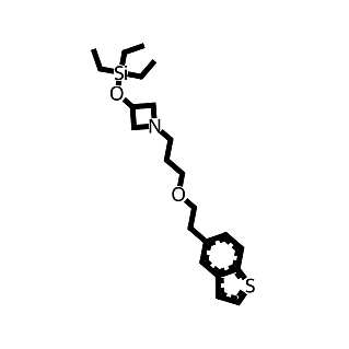 CC[Si](CC)(CC)OC1CN(CCCOCCc2ccc3sccc3c2)C1